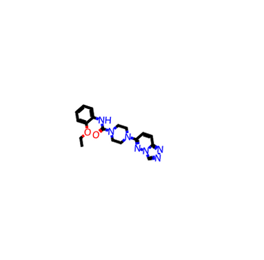 CCOc1ccccc1NC(=O)N1CCN(c2ccc3nncn3n2)CC1